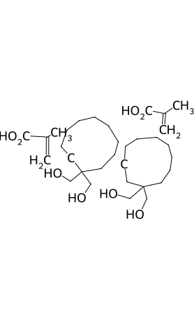 C=C(C)C(=O)O.C=C(C)C(=O)O.OCC1(CO)CCCCCCCCC1.OCC1(CO)CCCCCCCCC1